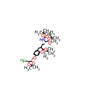 CC(C)(C)OC(=O)N[C@@H](CCC(Cc1ccc(OC[C@@H]2OC(C)(C)O[C@H]2C[18F])cc1)C(=O)OC(C)(C)C)C(=O)OC(C)(C)C